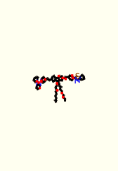 CCCCCCCCCCC1(CCCCCCCCCC)c2cc(/C=C/c3ccc(-c4nc5ccccc5s4)cc3)ccc2-c2ccc(/C=C/c3ccc(N(c4ccccc4)c4ccccc4)cc3)cc21